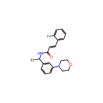 CCC(NC(=O)C=Cc1ccccc1F)c1cccc(N2CCOCC2)c1